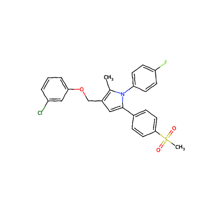 Cc1c(COc2cccc(Cl)c2)cc(-c2ccc(S(C)(=O)=O)cc2)n1-c1ccc(F)cc1